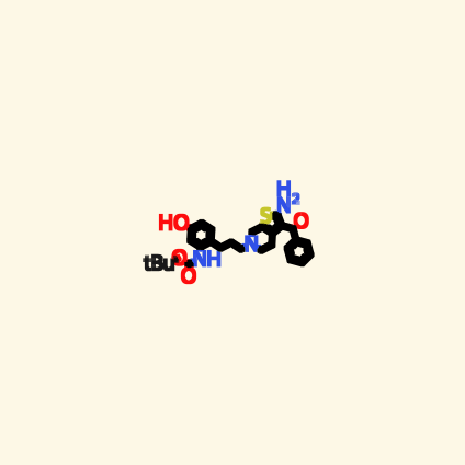 CC(C)(C)OC(=O)Nc1cc(O)ccc1CCCN1CCc2c(sc(N)c2C(=O)c2ccccc2)C1